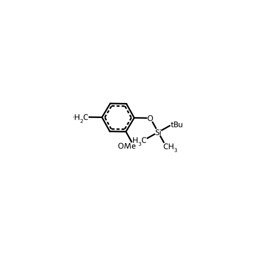 [CH2]c1ccc(O[Si](C)(C)C(C)(C)C)c(OC)c1